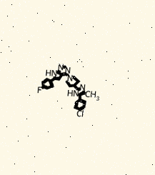 Cc1nc(C2CCN(c3ncnc4[nH]c(-c5ccc(F)cc5)cc34)CC2)[nH]c1-c1ccc(Cl)cc1